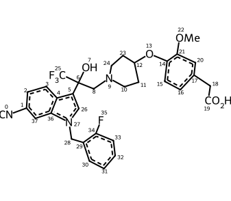 [C-]#[N+]c1ccc2c(C(O)(CN3CCC(Oc4ccc(CC(=O)O)cc4OC)CC3)C(F)(F)F)cn(Cc3ccccc3F)c2c1